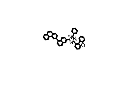 c1ccc(-c2nc(-c3ccc4c(-c5ccc6ccc7ccccc7c6c5)cccc4c3)nc(-c3cccc4oc5ccccc5c34)n2)cc1